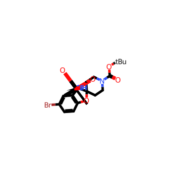 CC(C)(C)OC(=O)N1CCC2(CC1)Oc1ccc(Br)cc1C21NC(=O)NC1=O